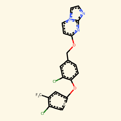 FC(F)(F)c1cc(Oc2ccc(COc3ccn4ccnc4n3)cc2Cl)ccc1Cl